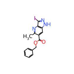 Cc1nc2c(I)n[nH]c2cc1C(=O)OCc1ccccc1